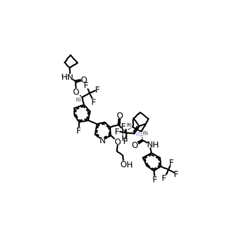 O=C(NC1CCC1)O[C@@H](c1ccc(F)c(-c2cnc(OCCO)c(C(=O)N[C@@H]3C4CCC(/C4=C/C(F)(F)F)[C@@H]3C(=O)Nc3ccc(F)c(C(F)(F)F)c3)c2)c1)C(F)(F)F